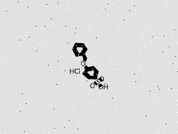 Cl.O=S(=O)(O)c1ccc(OCc2ccccc2)cc1